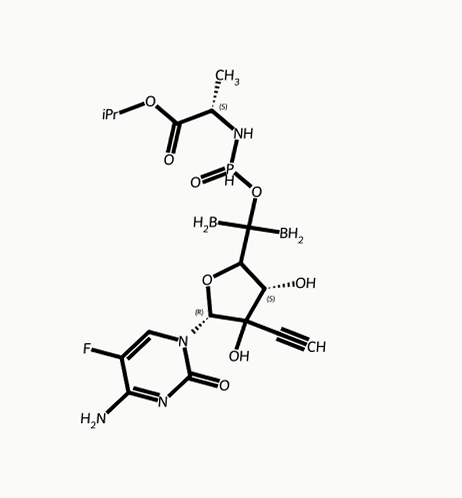 BC(B)(O[PH](=O)N[C@@H](C)C(=O)OC(C)C)C1O[C@@H](n2cc(F)c(N)nc2=O)C(O)(C#C)[C@H]1O